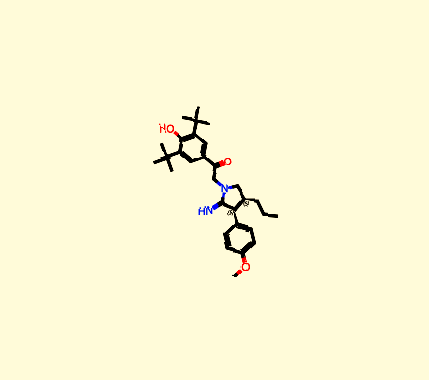 CCC[C@@H]1CN(CC(=O)c2cc(C(C)(C)C)c(O)c(C(C)(C)C)c2)C(=N)[C@@H]1c1ccc(OC)cc1